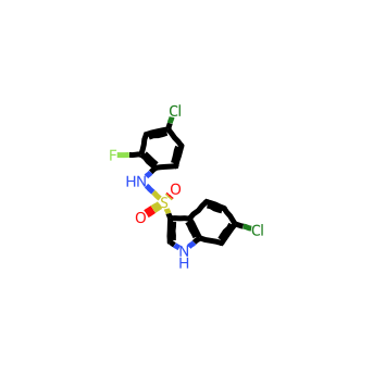 O=S(=O)(Nc1ccc(Cl)cc1F)c1c[nH]c2cc(Cl)ccc12